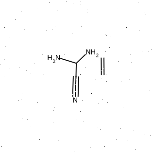 C=C.N#CC(N)N